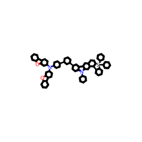 c1ccc(-n2c3ccc(-c4cccc(-c5ccc(N(c6ccc7c(c6)oc6ccccc67)c6ccc7c(c6)oc6ccccc67)cc5)c4)cc3c3cc4ccc5c(c4cc32)-c2ccccc2[Si]5(c2ccccc2)c2ccccc2)cc1